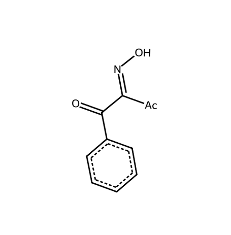 CC(=O)/C(=N\O)C(=O)c1ccccc1